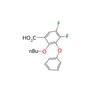 CCCCOc1c(C(=O)O)cc(F)c(F)c1Oc1ccccc1